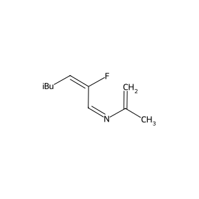 C=C(C)/N=C\C(F)=C/C(C)CC